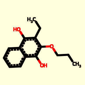 CCCOc1c(CC)c(O)c2ccccc2c1O